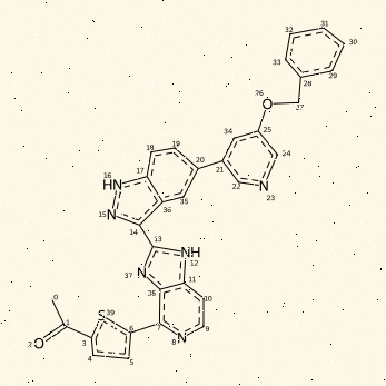 CC(=O)c1ccc(-c2nccc3[nH]c(-c4n[nH]c5ccc(-c6cncc(OCc7ccccc7)c6)cc45)nc23)s1